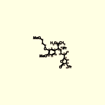 COCCCOc1cc(C([C@@H](CC(I)C2C[C@@H](C(C)C)C(=O)O2)C(C)C)N(C)C)ccc1OC